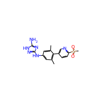 Cc1cc(Nc2n[nH]c(N)n2)cc(C)c1-c1ccc(S(C)(=O)=O)nc1